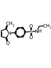 C=C1C=CC(=O)N1c1ccc(S(=O)(=O)NCC)cc1